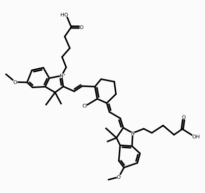 COc1ccc2c(c1)C(C)(C)C(/C=C/C1=C(Cl)C(=C/C=C3/N(CCCCC(=O)O)c4ccc(OC)cc4C3(C)C)/CCC1)=[N+]2CCCCC(=O)O